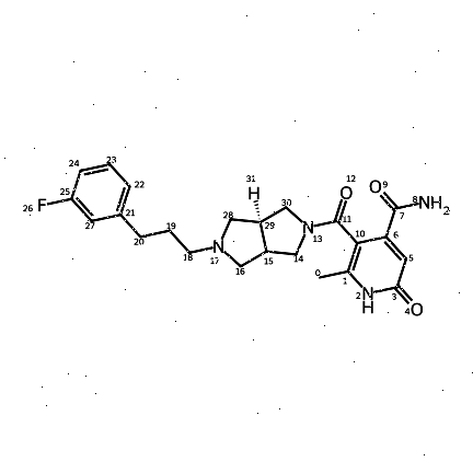 Cc1[nH]c(=O)cc(C(N)=O)c1C(=O)N1CC2CN(CC[CH]c3cccc(F)c3)C[C@H]2C1